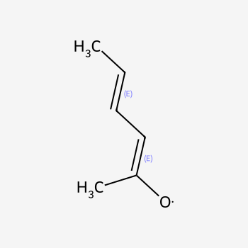 C/C=C/C=C(\C)[O]